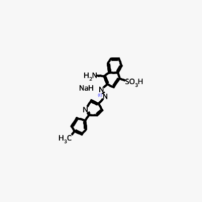 Cc1ccc(-c2ccc(/N=N/c3cc(S(=O)(=O)O)c4ccccc4c3N)cn2)cc1.[NaH]